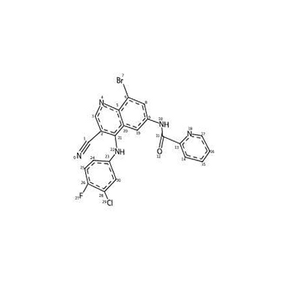 N#Cc1cnc2c(Br)cc(NC(=O)c3ccccn3)cc2c1Nc1ccc(F)c(Cl)c1